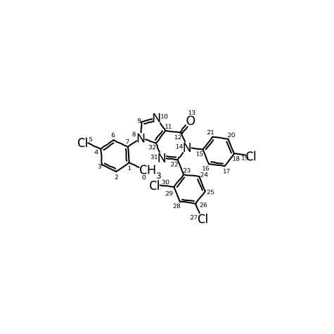 Cc1ccc(Cl)cc1-n1cnc2c(=O)n(-c3ccc(Cl)cc3)c(-c3ccc(Cl)cc3Cl)nc21